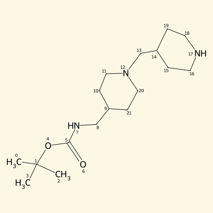 CC(C)(C)OC(=O)NCC1CCN(CC2CCNCC2)CC1